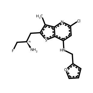 Cc1c(C[C@@H](N)CF)sc2c(NCc3ccco3)cc(Cl)nc12